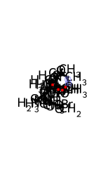 C=C(CBr)C(=O)OCCCCC(C=O)N[C@H](C(=O)N[C@@H](CCCNC(N)=O)C(=O)Nc1ccc(C(=O)N(C)[C@@H](C)C(=O)O[C@H]2CC(=O)N(C)c3cc(cc(OC)c3Cl)C/C(C)=C/C=C/[C@@H](OC)[C@@]3(O)C[C@H](OC(=O)N3)[C@@H](C)[C@@H]3O[C@@]23C)cc1O)C(C)C